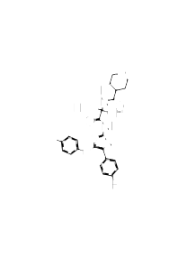 CC(C)(NC(=O)C1CCOCC1)C(=O)Nc1nc(-c2ccc(F)cc2)c(Oc2ccc(F)cc2)s1